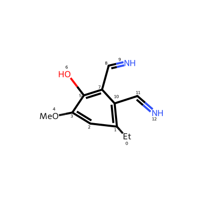 CCc1cc(OC)c(O)c(C=N)c1C=N